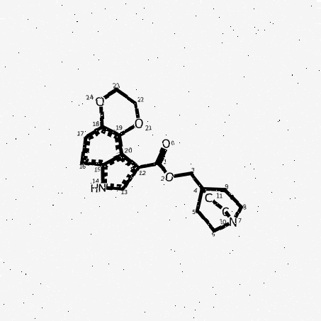 O=C(OCC12CCN(CC1)CC2)c1c[nH]c2ccc3c(c12)OCCO3